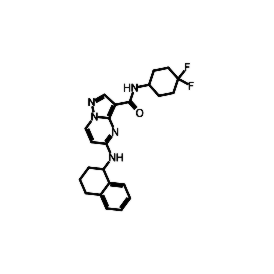 O=C(NC1CCC(F)(F)CC1)c1cnn2ccc(NC3CCCc4ccccc43)nc12